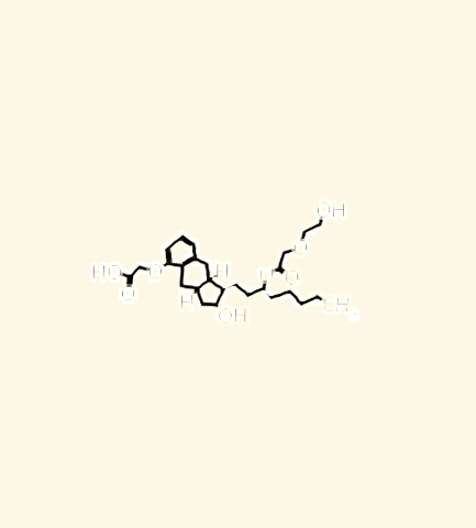 CCCCC[C@@H](CC[C@@H]1[C@H]2Cc3cccc(OCC(=O)O)c3C[C@H]2C[C@H]1O)OC(=O)COCCO